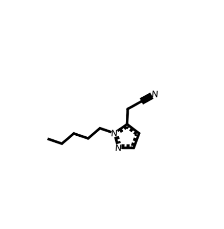 CCCCCn1nccc1CC#N